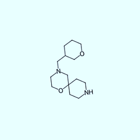 C1COCC(CN2CCOC3(CCNCC3)C2)C1